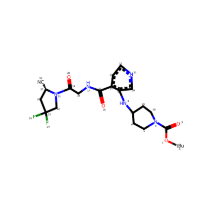 CC(C)(C)OC(=O)N1CCC(Nc2cnccc2C(=O)NCC(=O)N2CC(F)(F)C[C@H]2C#N)CC1